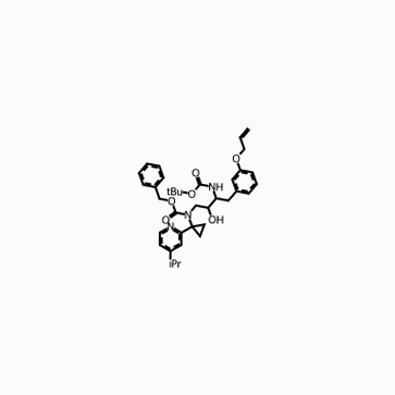 C=CCOc1cccc(CC(NC(=O)OC(C)(C)C)C(O)CN(C(=O)OCc2ccccc2)C2(c3cc(C(C)C)ccn3)CC2)c1